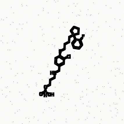 O=[PH](O)OCCCNCc1ccc(SCCCCC2(c3ccccc3F)CCCC2)c(Cl)c1